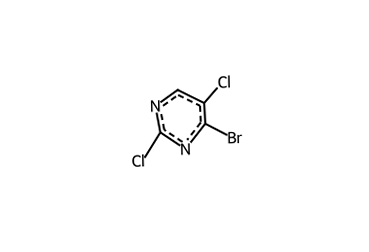 Clc1ncc(Cl)c(Br)n1